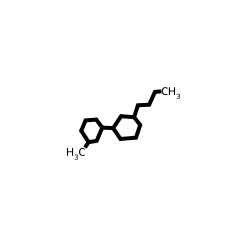 CCCCC1CCC[C](C2CCCC(C)C2)C1